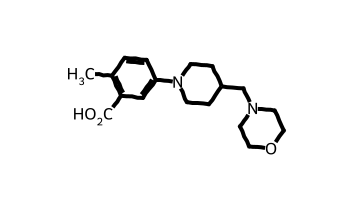 Cc1ccc(N2CCC(CN3CCOCC3)CC2)cc1C(=O)O